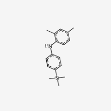 Cc1ccc(Nc2ccc([Si](C)(C)C)cc2)c(C)c1